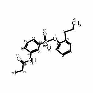 CCCc1ccccc1OS(=O)(=O)c1cccc(NC(=O)CI)c1